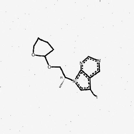 C[C@H](COC1CCCCO1)n1cc(I)c2cncnc21